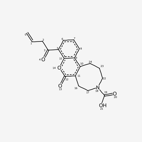 C=CCC(=O)c1cccc2c3c(c(=O)oc12)CCN(C(=O)O)CCC3